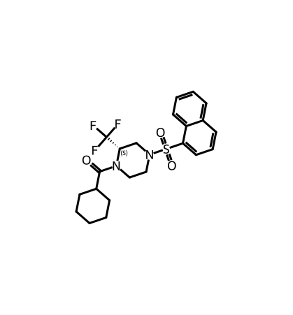 O=C(C1CCCCC1)N1CCN(S(=O)(=O)c2cccc3ccccc23)C[C@H]1C(F)(F)F